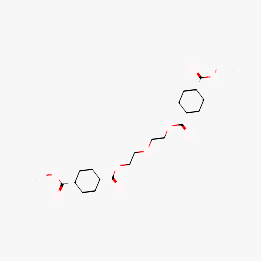 COC(=O)[C@H]1CC[C@H](C(=O)OCCOCCOC(=O)[C@H]2CC[C@H](C(=O)OC)CC2)CC1